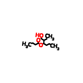 CCCC(=O)OC(CCC)C(CC)CO